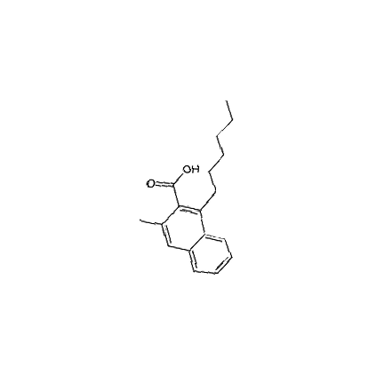 CCCCCCc1c(C(=O)O)c(C)cc2ccccc12